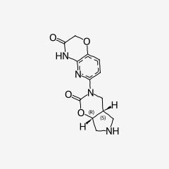 O=C1COc2ccc(N3C[C@@H]4CNC[C@@H]4OC3=O)nc2N1